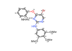 COc1cc(Nc2ncc(Br)c(Oc3ccccc3NC(C)=O)n2)cc(OC)c1OC